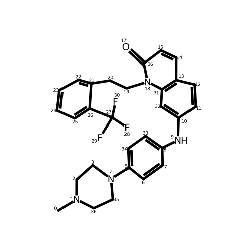 CN1CCN(c2ccc(Nc3ccc4ccc(=O)n(CCc5ccccc5C(F)(F)F)c4c3)cc2)CC1